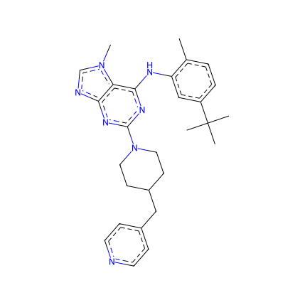 Cc1ccc(C(C)(C)C)cc1Nc1nc(N2CCC(Cc3ccncc3)CC2)nc2ncn(C)c12